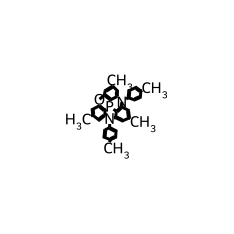 Cc1ccc(N2c3cc(C)cc4c3P3c5c(cc(C)cc5N(c5ccc(C)cc5)c5cc(C)cc2c53)O4)cc1